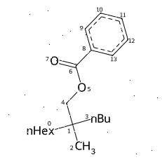 CCCCCCC(C)(CCCC)COC(=O)c1ccccc1